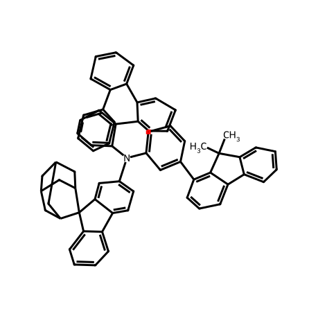 CC1(C)c2ccccc2-c2cccc(-c3cccc(N(c4ccc5c(c4)C4(c6ccccc6-5)C5CC6CC(C5)CC4C6)c4ccccc4-c4ccccc4-c4ccccc4-c4ccccc4)c3)c21